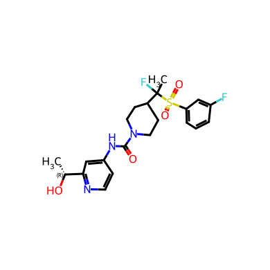 C[C@@H](O)c1cc(NC(=O)N2CCC(C(C)(F)S(=O)(=O)c3cccc(F)c3)CC2)ccn1